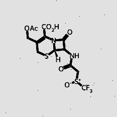 CC(=O)OCC1=C(C(=O)O)N2C(=O)C(NC(=O)C[S+]([O-])C(F)(F)F)[C@@H]2SC1